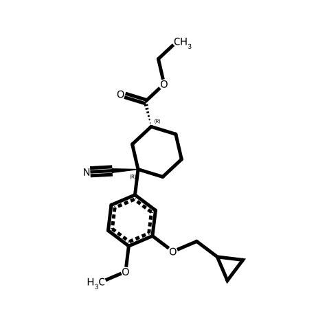 CCOC(=O)[C@@H]1CCC[C@](C#N)(c2ccc(OC)c(OCC3CC3)c2)C1